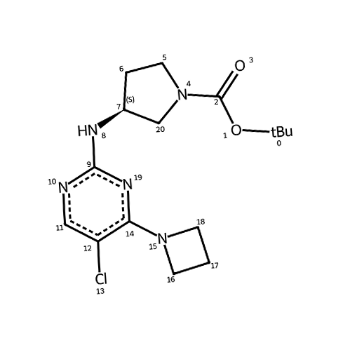 CC(C)(C)OC(=O)N1CC[C@H](Nc2ncc(Cl)c(N3CCC3)n2)C1